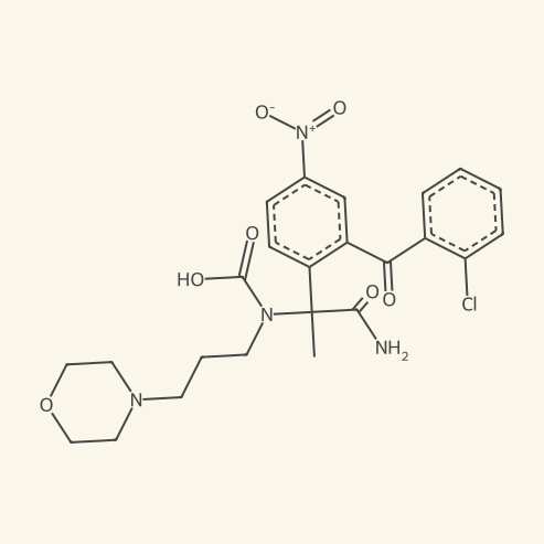 CC(C(N)=O)(c1ccc([N+](=O)[O-])cc1C(=O)c1ccccc1Cl)N(CCCN1CCOCC1)C(=O)O